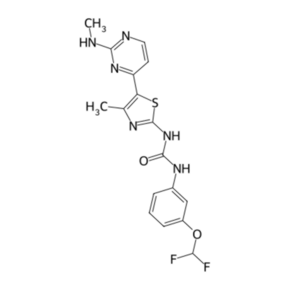 CNc1nccc(-c2sc(NC(=O)Nc3cccc(OC(F)F)c3)nc2C)n1